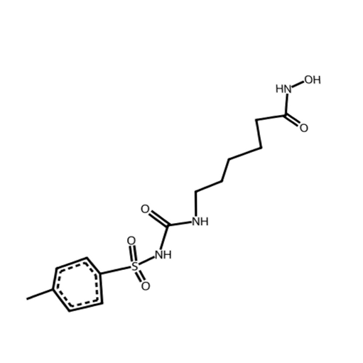 Cc1ccc(S(=O)(=O)NC(=O)NCCCCCC(=O)NO)cc1